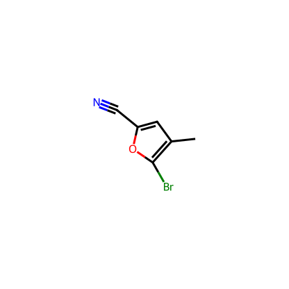 Cc1cc(C#N)oc1Br